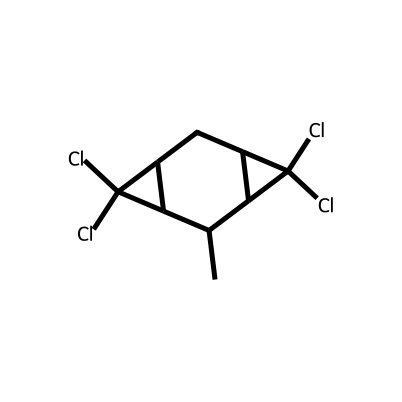 CC1C2C(CC3C1C3(Cl)Cl)C2(Cl)Cl